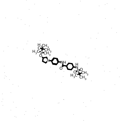 CC(C)(C)[Si](C)(C)OC1CCN(c2ccc(NC(=O)C3CCC(NS(=O)(=O)C(C)(C)C)CC3)cc2)C1